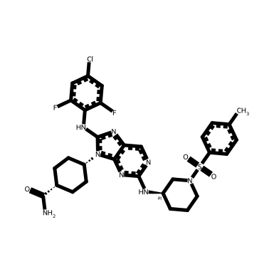 Cc1ccc(S(=O)(=O)N2CCC[C@@H](Nc3ncc4nc(Nc5c(F)cc(Cl)cc5F)n([C@H]5CC[C@@H](C(N)=O)CC5)c4n3)C2)cc1